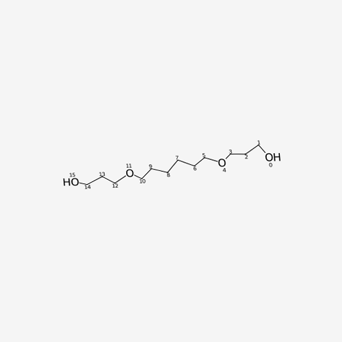 OCCCOCCCCCCOCCCO